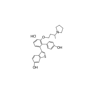 CC(CCOc1cccc(-c2csc3cc(O)ccc23)c1-c1ccc(O)cc1)N1CCCC1.Cl